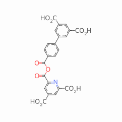 O=C(O)c1cc(C(=O)O)cc(-c2ccc(C(=O)OC(=O)c3cc(C(=O)O)cc(C(=O)O)n3)cc2)c1